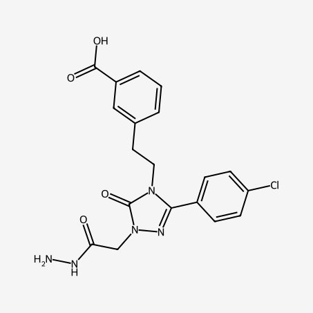 NNC(=O)Cn1nc(-c2ccc(Cl)cc2)n(CCc2cccc(C(=O)O)c2)c1=O